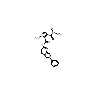 CN(C)C(=O)c1cnn(C)c1C(=O)Nc1ccn2cc(-c3c[c]ccc3)nc2n1